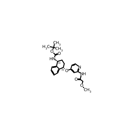 COCC(=O)Nc1cc(O[C@H]2CC[C@H](NC(=O)OC(C)(C)C)c3ccccc32)ccn1